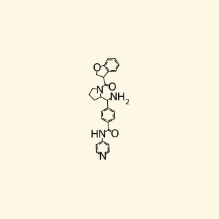 N[C@@H](c1ccc(C(=O)Nc2ccncc2)cc1)C1CCCN1C(=O)C1COc2ccccc21